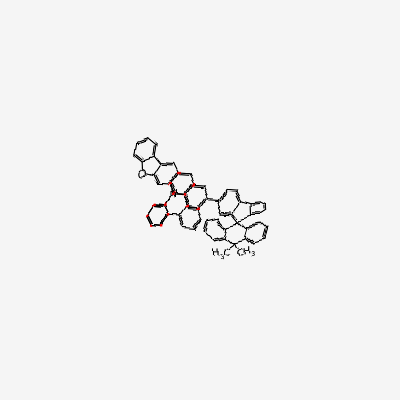 CC1(C)c2ccccc2C2(c3ccccc3-c3ccc(-c4ccc(N(c5ccc6c(c5)oc5ccccc56)c5ccccc5-c5ccccc5-c5ccccc5-c5ccccc5)cc4)cc32)c2ccccc21